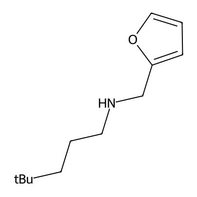 CC(C)(C)CCCNCc1ccco1